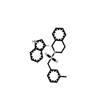 Cc1cccc(CS(=O)(=O)N2CCc3ccccc3[C@H]2c2c[nH]c3ccccc23)c1